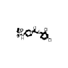 C=CS(=O)(=O)NC1CCN(C(=O)CSc2ccc(Cl)cc2Cl)CC1